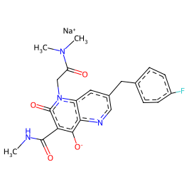 CNC(=O)c1c([O-])c2ncc(Cc3ccc(F)cc3)cc2n(CC(=O)N(C)C)c1=O.[Na+]